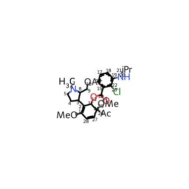 COC1=C(C2CCN(C)C2COC(C)=O)C(OC(=O)c2cccc(NC(C)C)c2Cl)C(OC)(C(C)=O)C=C1